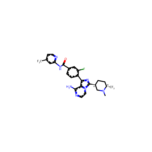 CN1C[C@@H](c2nc(-c3ccc(C(=O)Nc4cc(C(F)(F)F)ccn4)cc3F)c3c(N)nccn23)CC[C@@H]1C(F)(F)F